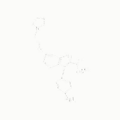 COC(=O)c1[nH]c2cc(OCCN3CCCC3)ccc2c1-c1ccc(N)cc1